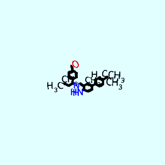 CC1=C(c2ccc(C(C)(C)C)cc2)C=CC(=N)/C1=C\NC(CC(C)C)c1ccc(C=O)cc1